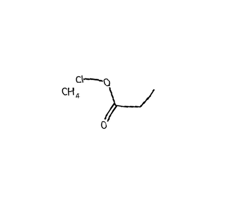 C.CCC(=O)OCl